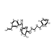 CC=Cc1cccc(Nc2ncc(C)c(OCCCCc3ccncc3)n2)c1